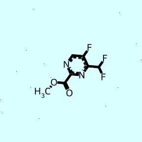 COC(=O)c1ncc(F)c(C(F)F)n1